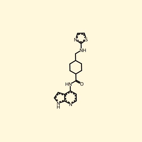 O=C(Nc1ccnc2[nH]ccc12)C1CCC(CNc2nccs2)CC1